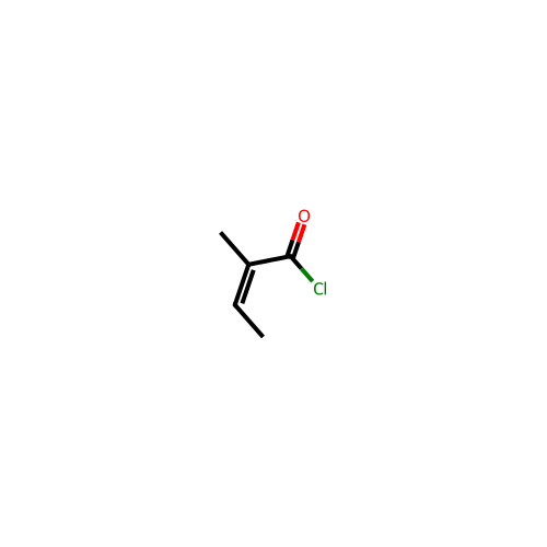 C/C=C(/C)C(=O)Cl